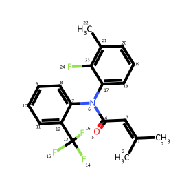 CC(C)=CC(=O)N(c1ccccc1C(F)(F)F)c1cccc(C)c1F